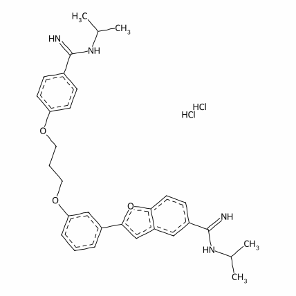 CC(C)NC(=N)c1ccc(OCCCOc2cccc(-c3cc4cc(C(=N)NC(C)C)ccc4o3)c2)cc1.Cl.Cl